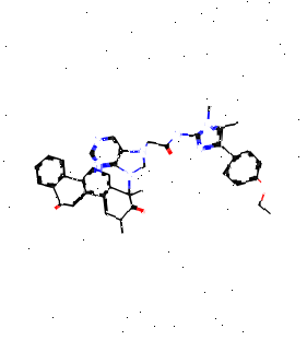 CCOc1ccc(-c2nc(NC(=O)CN3CN(C4(C)C(=O)C(C)C=c5c4ccc4c5=CC(=O)c5ccccc5-4)c4ncncc43)n(C)c2C)cc1